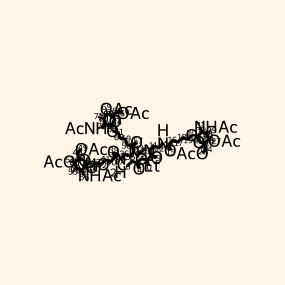 CCC(OC(=O)CCC(=O)O)C(=O)N(CCNC(=O)CCCCO[C@@H]1OC(COC(C)=O)[C@H](OC(C)=O)[C@H](C)C1NC(C)=O)CCN(CCNC(=O)CCCCO[C@@H]1OC(COC(C)=O)[C@H](OC(C)=O)[C@H](C)C1NC(C)=O)C(=O)CCCCO[C@@H]1OC(COC(C)=O)[C@H](OC(C)=O)[C@H](C)C1NC(C)=O